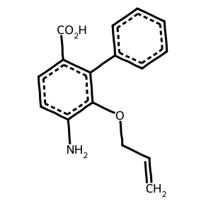 C=CCOc1c(N)ccc(C(=O)O)c1-c1ccccc1